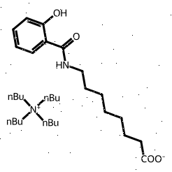 CCCC[N+](CCCC)(CCCC)CCCC.O=C([O-])CCCCCCCNC(=O)c1ccccc1O